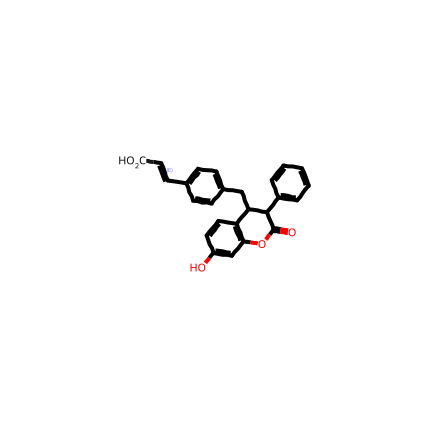 O=C(O)/C=C/c1ccc(CC2c3ccc(O)cc3OC(=O)C2c2ccccc2)cc1